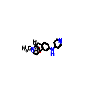 CN1CCC23CCCC[C@H]2[C@H]1Cc1ccc(Nc2ccncc2)cc13